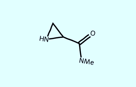 CNC(=O)C1CN1